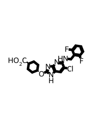 O=C(O)[C@H]1CC[C@H](Oc2nc3nc(NCc4c(F)cccc4F)c(Cl)cc3[nH]2)CC1